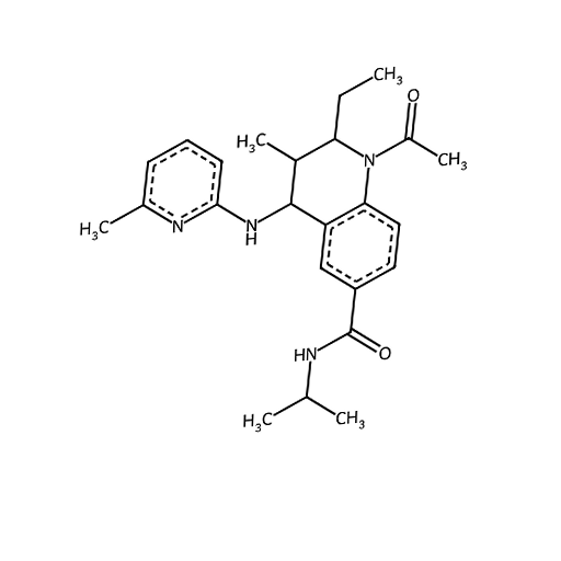 CCC1C(C)C(Nc2cccc(C)n2)c2cc(C(=O)NC(C)C)ccc2N1C(C)=O